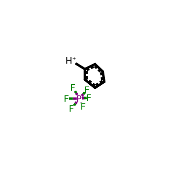 Cc1ccccc1.F[P-](F)(F)(F)(F)F.[H+]